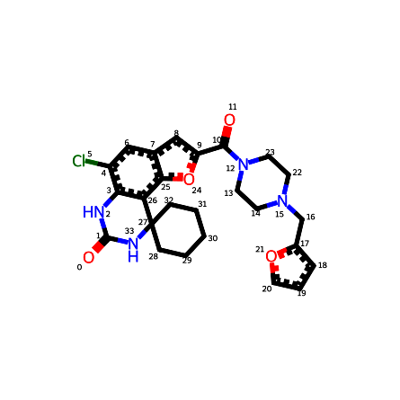 O=C1Nc2c(Cl)cc3cc(C(=O)N4CCN(Cc5ccco5)CC4)oc3c2C2(CCCCC2)N1